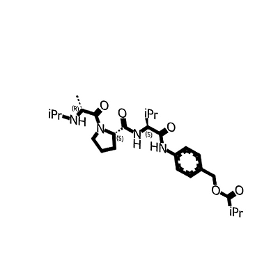 CC(C)N[C@H](C)C(=O)N1CCC[C@H]1C(=O)N[C@H](C(=O)Nc1ccc(COC(=O)C(C)C)cc1)C(C)C